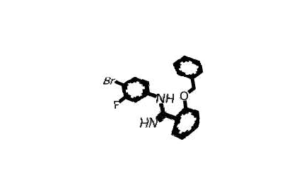 N=C(Nc1ccc(Br)c(F)c1)c1ccccc1OCc1ccccc1